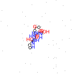 CNC(Cc1ccc2ccccc2c1)[C@H](O)NC(C)(C)C(=O)NC(Cc1ccc(C(=O)c2ccccc2)cc1)C(=O)NC(C)(C)C(=O)NC(C)C(=O)O